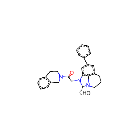 O=CC1N(CC(=O)N2CCc3ccccc3C2)c2cc(-c3ccccc3)cc3c2N1CCC3